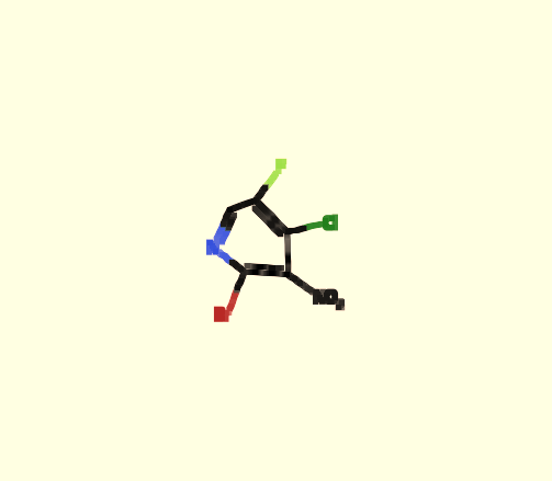 O=[N+]([O-])c1c(Br)ncc(F)c1Cl